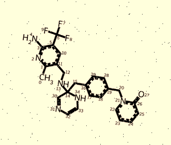 Cc1nc(N)c(C(F)(F)F)cc1CNC1(Cc2ccc(Cn3ccccc3=O)cc2)C=NC=CN1